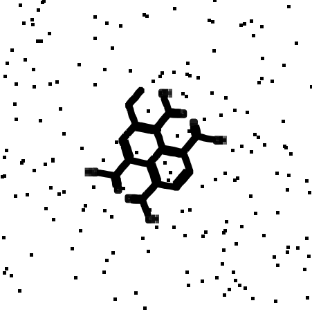 CCc1cc(C(=O)O)c2c(C(=O)O)ccc(C(=O)O)c2c1C(=O)O